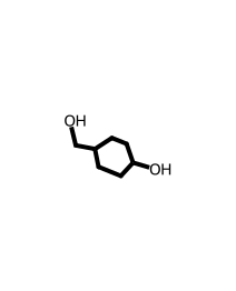 OCC1CCC(O)CC1